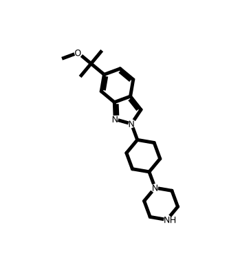 COC(C)(C)c1ccc2cn(C3CCC(N4CCNCC4)CC3)nc2c1